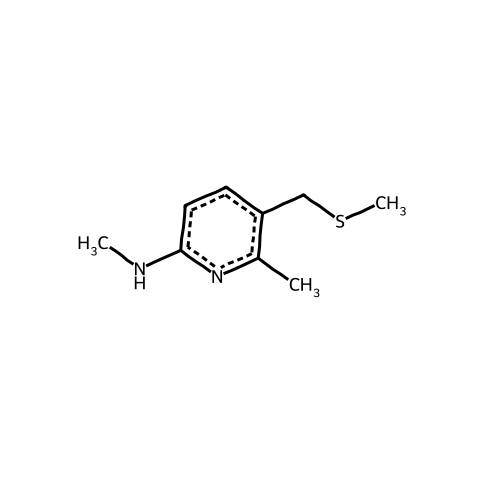 CNc1ccc(CSC)c(C)n1